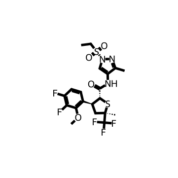 CCS(=O)(=O)n1cc(NC(=O)[C@@H]2S[C@@](C)(C(F)(F)F)C[C@H]2c2ccc(F)c(F)c2OC)c(C)n1